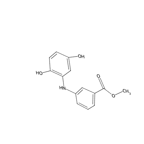 COC(=O)c1cccc(Nc2cc(O)ccc2O)c1